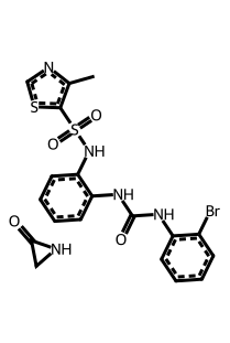 Cc1ncsc1S(=O)(=O)Nc1ccccc1NC(=O)Nc1ccccc1Br.O=C1CN1